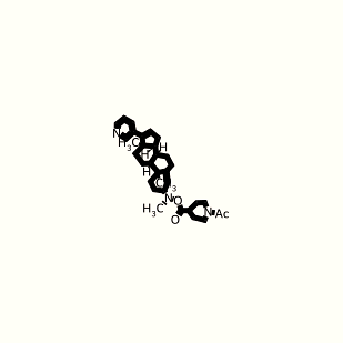 CC(=O)N1CCC(C(=O)ON(C)C2C=C3CC[C@H]4[C@H](CC[C@]5(C)C(c6cccnc6)=CC[C@@H]45)[C@@]3(C)CC2)CC1